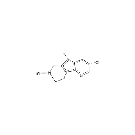 Cc1c2n(c3ncc(Cl)cc13)CCN(C(C)C)C2